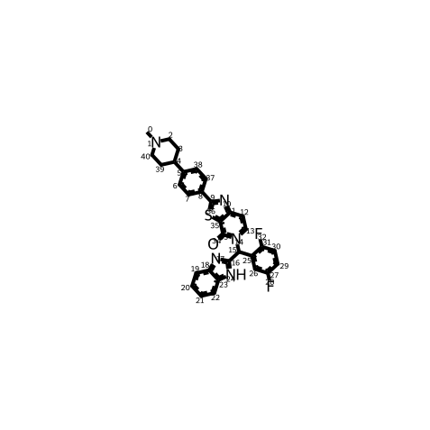 CN1CCC(c2ccc(-c3nc4ccn(C(c5nc6ccccc6[nH]5)c5cc(F)ccc5F)c(=O)c4s3)cc2)CC1